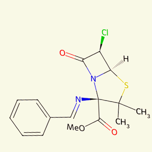 COC(=O)[C@]1(N=Cc2ccccc2)N2C(=O)[C@@H](Cl)[C@H]2SC1(C)C